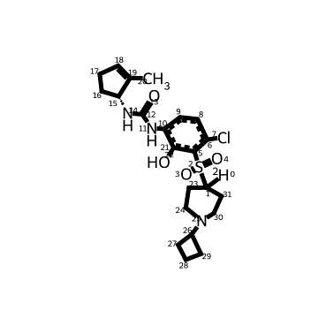 [2H]C1(S(=O)(=O)c2c(Cl)ccc(NC(=O)N[C@@H]3CCC=C3C)c2O)CCN(C2CCC2)CC1